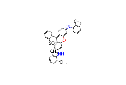 Cc1ccccc1/N=c1/ccc2c(-c3ccccc3S(=O)(=O)O)c3ccc(Nc4c(C)cccc4C)cc3oc-2c1